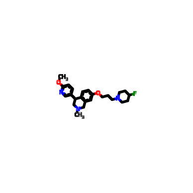 COc1ccc(C2CN(C)Cc3cc(OCCCN4CCC(F)CC4)ccc32)cn1